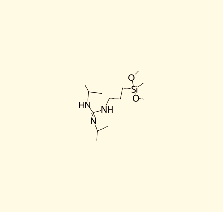 CO[Si](C)(CCCN/C(=N\C(C)C)NC(C)C)OC